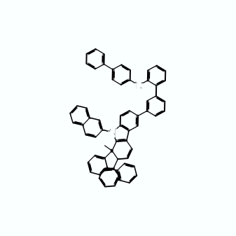 CC1(c2ccccc2-c2ccccc2)c2c(c3cc(-c4cccc(-c5ccccc5Nc5ccc(-c6ccccc6)cc5)c4)ccc3n2-c2ccc3ccccc3c2)C=CC1c1ccccc1